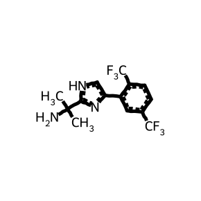 CC(C)(N)c1nc(-c2cc(C(F)(F)F)ccc2C(F)(F)F)c[nH]1